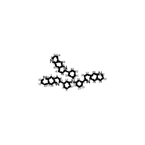 c1cc(-c2ccc3cc4ncccc4cc3n2)cc(N(c2cccc(-c3ccc4cc5ncccc5cc4n3)c2)c2cccc(-c3ccc4cc5ncccc5cc4n3)c2)c1